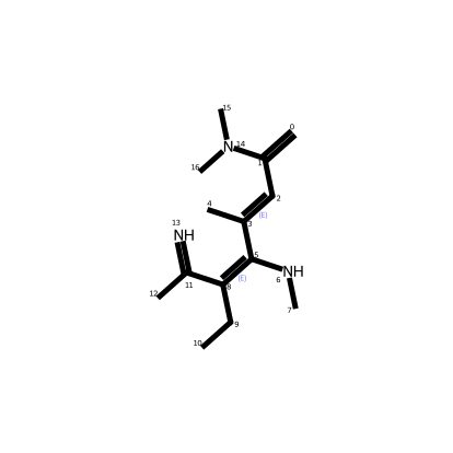 C=C(/C=C(C)/C(NC)=C(/CC)C(C)=N)N(C)C